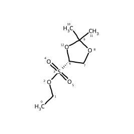 CCOS(=O)(=O)[C@H]1COC(C)(C)O1